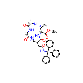 CC(C)C[C@H](NC(=O)C(/C=N/C(=O)[C@H](C)NC(=O)[C@H](C)N)CC(=O)NC(c1ccccc1)(c1ccccc1)c1ccccc1)C(=O)OC(C)(C)C